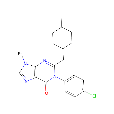 CCn1cnc2c(=O)n(-c3ccc(Cl)cc3)c(CC3CCC(C)CC3)nc21